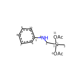 CC(=O)O[Si](C)(CNc1ccccc1)OC(C)=O